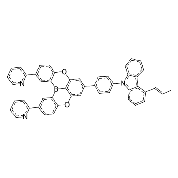 CC=Cc1cccc2c1c1ccccc1n2-c1ccc(-c2cc3c4c(c2)Oc2ccc(-c5ccccn5)cc2B4c2cc(-c4ccccn4)ccc2O3)cc1